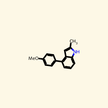 COc1ccc(-c2cccc3[nH]c(C)cc23)cc1